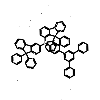 c1ccc(-c2cc(-c3ccccc3)cc(-c3ccc(N(c4ccc5c(c4)-c4ccccc4C5(c4ccccc4)c4ccccc4)c4cccc5c4C(c4ccccc4)(c4ccccc4)c4ccccc4-5)cc3)c2)cc1